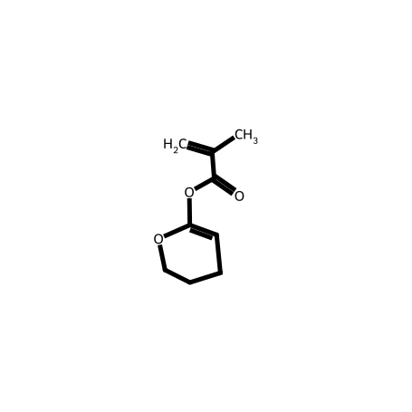 C=C(C)C(=O)OC1=CCCCO1